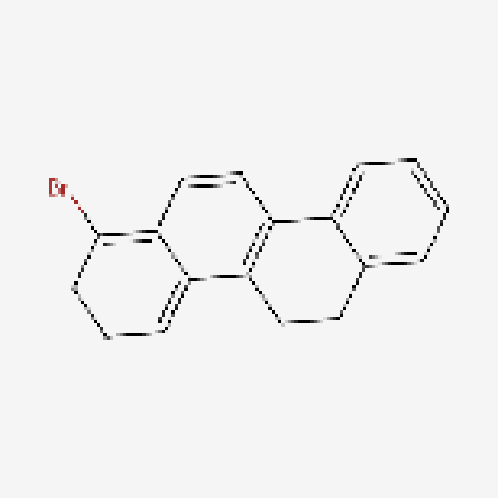 BrC1=c2ccc3c(c2=CCC1)CCc1ccccc1-3